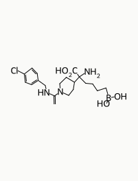 C=C(NCc1ccc(Cl)cc1)N1CCC(C(N)(CCCCB(O)O)C(=O)O)CC1